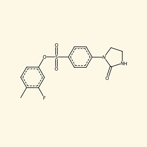 Cc1ccc(OS(=O)(=O)c2ccc(N3CCNC3=O)cc2)cc1F